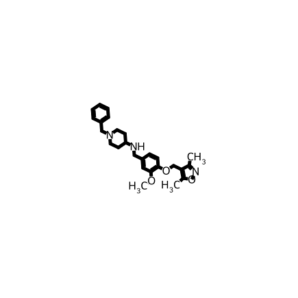 COc1cc(CNC2CCN(Cc3ccccc3)CC2)ccc1OCc1c(C)noc1C